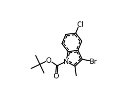 Cc1c(Br)c2cc(Cl)ccc2n1C(=O)OC(C)(C)C